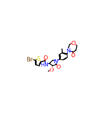 CO[C@H]1C(=O)N(c2ccc(N3CCOCCC3=O)c(C)c2)CC1NC(=O)c1ccc(Br)s1